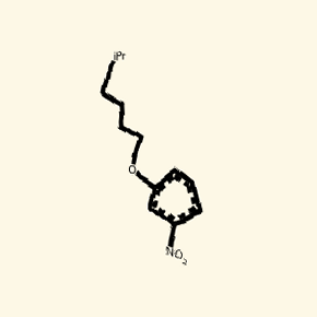 CC(C)CCCCOc1cccc([N+](=O)[O-])c1